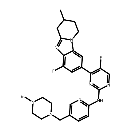 CCN1CCN(Cc2ccc(Nc3ncc(F)c(-c4cc(F)c5nc6n(c5c4)CCC(C)C6)n3)nc2)CC1